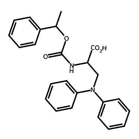 CC(OC(=O)NC(CN(c1ccccc1)c1ccccc1)C(=O)O)c1ccccc1